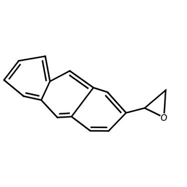 c1ccc2cc3cc(C4CO4)ccc3cc2c1